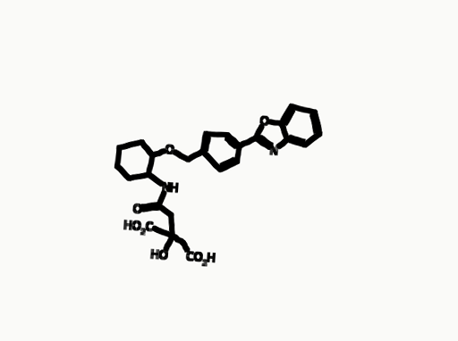 O=C(O)CC(O)(CC(=O)NC1CCCCC1OCc1ccc(-c2nc3ccccc3o2)cc1)C(=O)O